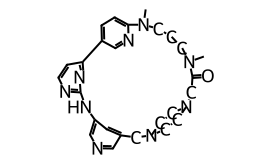 CN1CCCN(C)c2ccc(cn2)-c2ccnc(n2)Nc2cncc(c2)CN2CCN(CC2)CC1=O